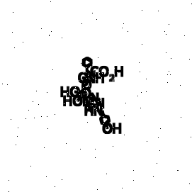 O=C(N[C@@H](Cc1ccccc1)C(=O)O)OC[C@H]1O[C@@H](n2cnc3c(NCc4ccc(O)cc4)ncnc32)C(O)C1O